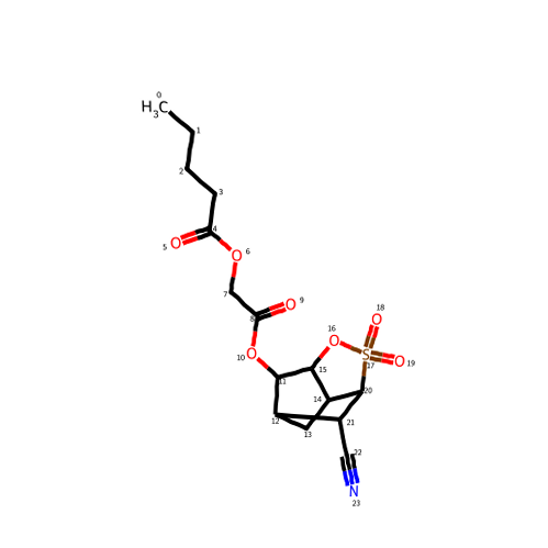 CCCCC(=O)OCC(=O)OC1C2CC3C1OS(=O)(=O)C3C2C#N